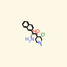 CN1CCC([C@H](O)[C@H](CN)c2ccc3ccccc3c2)C(Cl)C1